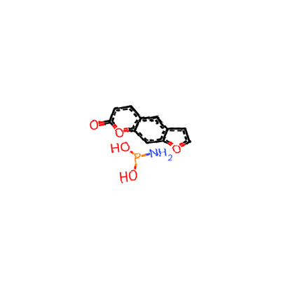 NP(O)O.O=c1ccc2cc3ccoc3cc2o1